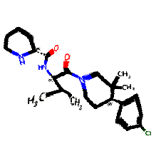 CC(C)[C@@H](NC(=O)[C@H]1CCCCN1)C(=O)N1CC[C@H](c2ccc(Cl)cc2)C(C)(C)C1